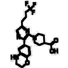 O=C(O)C1CCN(c2nc(CCCC(F)(F)F)cnc2-c2ccc3c(c2)NCCO3)CC1